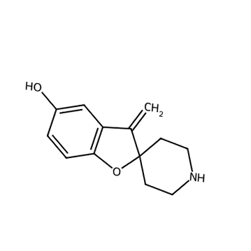 C=C1c2cc(O)ccc2OC12CCNCC2